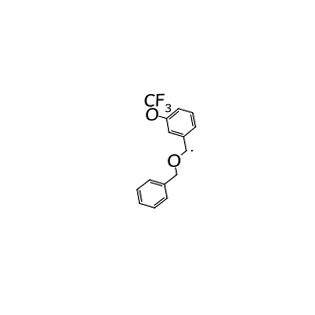 FC(F)(F)Oc1cccc([CH]OCc2ccccc2)c1